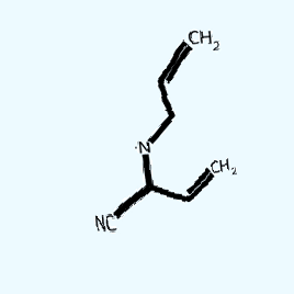 C=CC[N]C(C#N)C=C